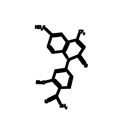 COc1cc(-n2c(=O)cc(C(F)(F)F)c3cc(S(=O)(=O)O)ccc32)ccc1C(N)=O